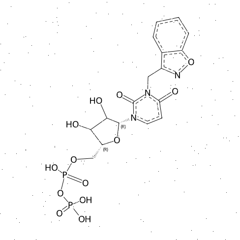 O=c1ccn([C@@H]2O[C@H](COP(=O)(O)OP(=O)(O)O)C(O)C2O)c(=O)n1Cc1noc2ccccc12